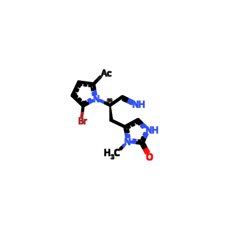 CC(=O)c1ccc(Br)n1[C@@H](C=N)Cc1c[nH]c(=O)n1C